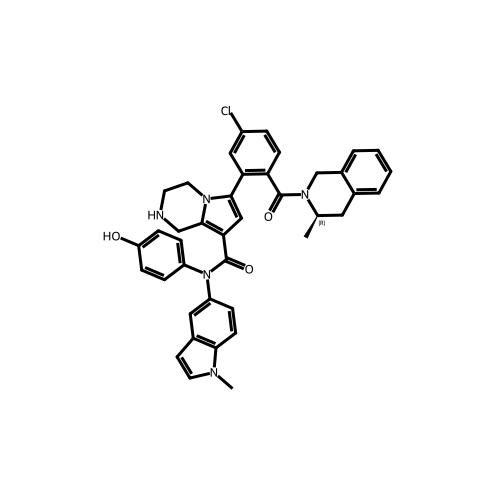 C[C@@H]1Cc2ccccc2CN1C(=O)c1ccc(Cl)cc1-c1cc(C(=O)N(c2ccc(O)cc2)c2ccc3c(ccn3C)c2)c2n1CCNC2